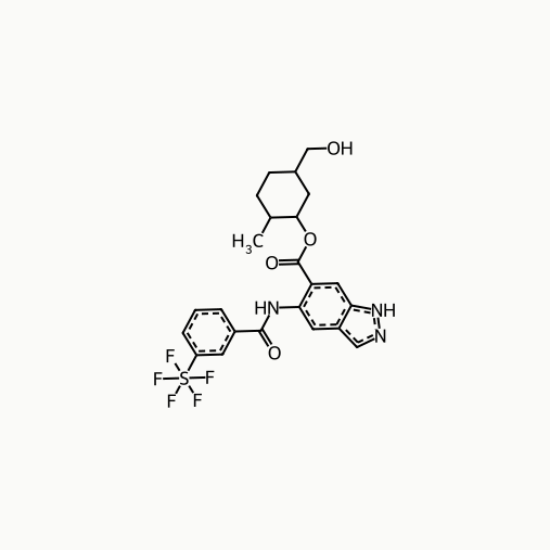 CC1CCC(CO)CC1OC(=O)c1cc2[nH]ncc2cc1NC(=O)c1cccc(S(F)(F)(F)(F)F)c1